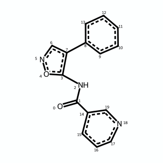 O=C(Nc1oncc1-c1ccccc1)c1cccnc1